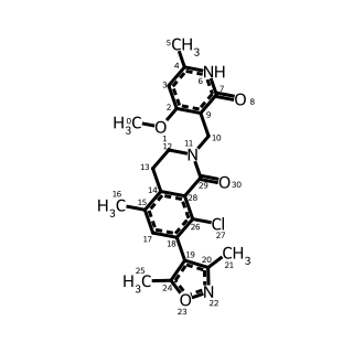 COc1cc(C)[nH]c(=O)c1CN1CCc2c(C)cc(-c3c(C)noc3C)c(Cl)c2C1=O